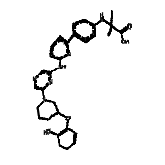 CC(C)(Nc1ccc(-c2cccc(Nc3cncc(N4CCCC(OC5=C(O)CCC=C5)C4)n3)n2)cc1)C(=O)O